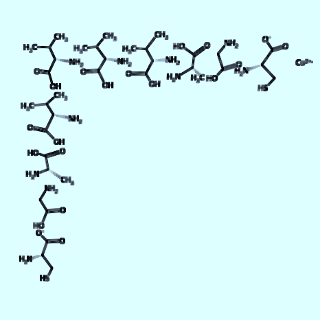 CC(C)[C@H](N)C(=O)O.CC(C)[C@H](N)C(=O)O.CC(C)[C@H](N)C(=O)O.CC(C)[C@H](N)C(=O)O.C[C@H](N)C(=O)O.C[C@H](N)C(=O)O.NCC(=O)O.NCC(=O)O.N[C@@H](CS)C(=O)[O-].N[C@@H](CS)C(=O)[O-].[Cu+2]